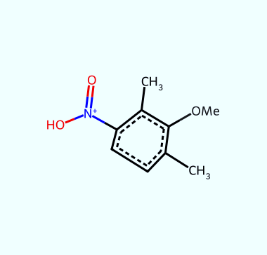 COc1c(C)ccc([N+](=O)O)c1C